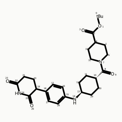 CC(C)(C)OC(=O)C1CCN(C(=O)[C@H]2CC[C@H](Nc3ccc(C4CCC(=O)NC4=O)cc3)CC2)CC1